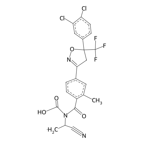 [CH2]C(C#N)N(C(=O)O)C(=O)c1ccc(C2=NOC(c3ccc(Cl)c(Cl)c3)(C(F)(F)F)C2)cc1C